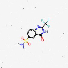 CN(C)S(=O)(=O)c1ccc2nc(C(F)(F)F)[nH]c(=O)c2c1